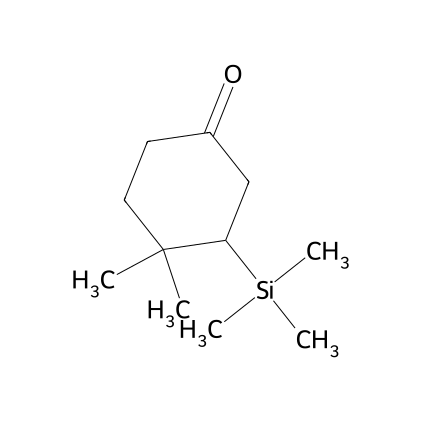 CC1(C)CCC(=O)CC1[Si](C)(C)C